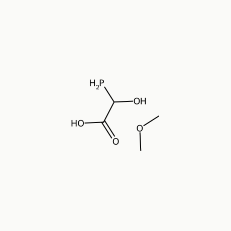 COC.O=C(O)C(O)P